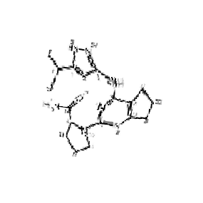 CC(C)c1cc(Nc2nc(N3CCC[C@H]3C(N)=O)nc3c2CCC3)n[nH]1